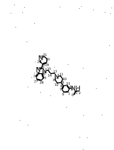 C=C(C)Nc1cccc(C2CCN(CCCn3c(C4=CCCN=C4)nc4ccccc43)CC2)c1